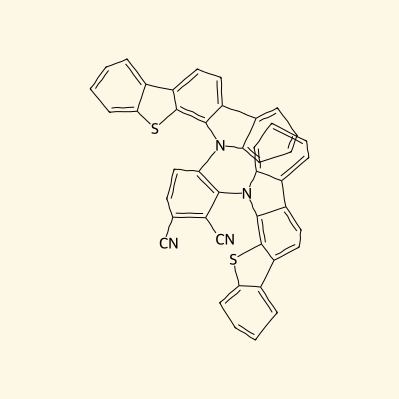 N#Cc1ccc(-n2c3ccccc3c3ccc4c5ccccc5sc4c32)c(-n2c3ccccc3c3ccc4c5ccccc5sc4c32)c1C#N